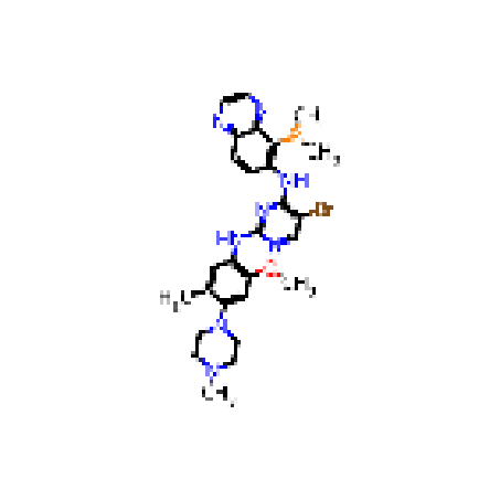 COc1cc(N2CCN(C)CC2)c(C)cc1Nc1ncc(Br)c(Nc2ccc3nccnc3c2P(C)C)n1